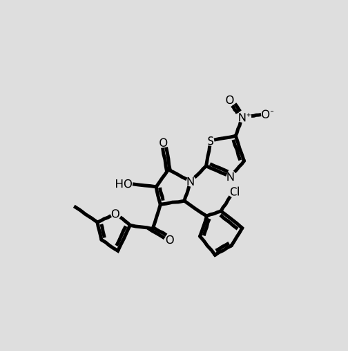 Cc1ccc(C(=O)C2=C(O)C(=O)N(c3ncc([N+](=O)[O-])s3)C2c2ccccc2Cl)o1